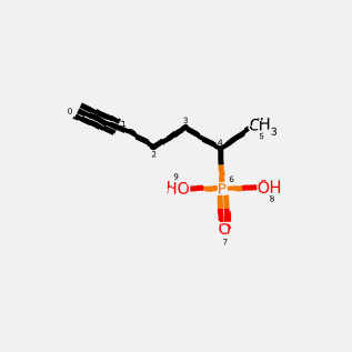 [C]#CCCC(C)P(=O)(O)O